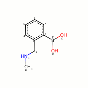 CNCc1ccccc1B(O)O